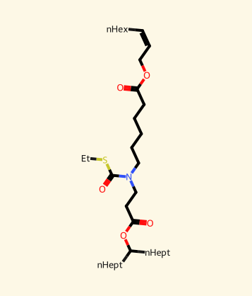 CCCCCC/C=C\COC(=O)CCCCCN(CCC(=O)OC(CCCCCCC)CCCCCCC)C(=O)SCC